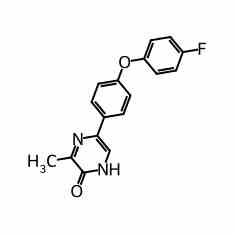 Cc1nc(-c2ccc(Oc3ccc(F)cc3)cc2)c[nH]c1=O